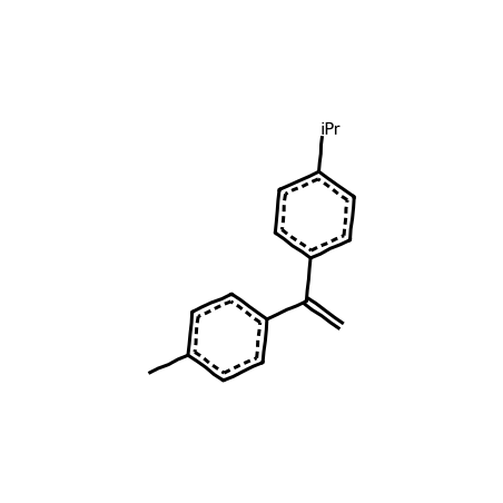 C=C(c1ccc(C)cc1)c1ccc(C(C)C)cc1